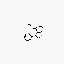 O=C(O)CNc1ncnc2scc(-c3ccccc3)c12